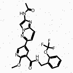 COc1ncc(-c2ccc3nc(NC(C)=O)cn3n2)cc1C(=O)NCc1ccccc1OC(F)(F)F